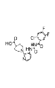 O=C(NC(=O)c1cc(F)c(F)cc1Cl)Nc1cccnc1N1CCC(C(=O)O)CC1